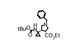 CCOC(=O)[C@H]1CN(Cc2ccccc2)C[C@@H]1C1(NC(=O)OC(C)(C)C)CC1